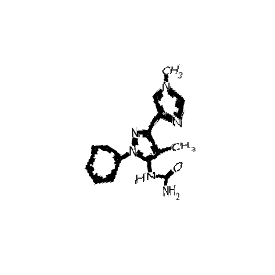 Cc1c(-c2cn(C)cn2)nn(-c2ccccc2)c1NC(N)=O